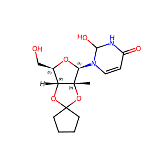 C[C@@]12OC3(CCCC3)O[C@@H]1[C@@H](CO)O[C@H]2N1C=CC(=O)NC1O